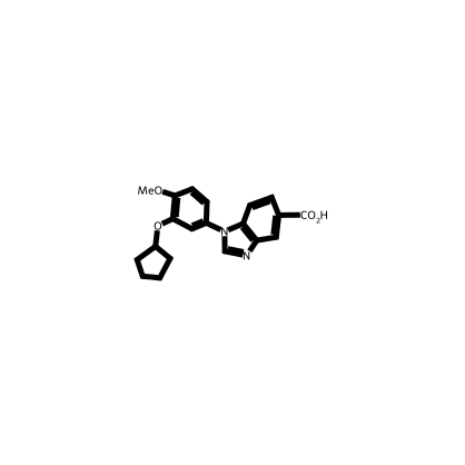 COc1ccc(-n2cnc3cc(C(=O)O)ccc32)cc1OC1CCCC1